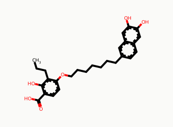 CCCc1c(OCCCCCCCc2ccc3cc(O)c(O)cc3c2)ccc(C(=O)O)c1O